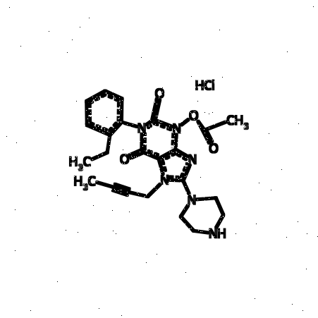 CC#CCn1c(N2CCNCC2)nc2c1c(=O)n(-c1ccccc1CC)c(=O)n2OC(C)=O.Cl